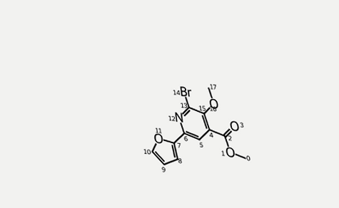 COC(=O)c1cc(-c2ccco2)nc(Br)c1OC